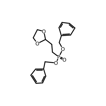 O=P(CCC1OCCO1)(OCc1ccccc1)OCc1ccccc1